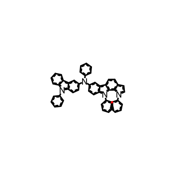 c1ccc(N(c2ccc3c(c2)c2ccccc2n3-c2ccccc2)c2ccc3c(c2)c2ccc4ccn(-c5ccccc5)c4c2n3-c2ccccc2)cc1